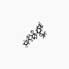 Cn1cc2cc(NC(=O)c3cnc(N4CCCC4)cn3)c(OC(F)F)cc2n1